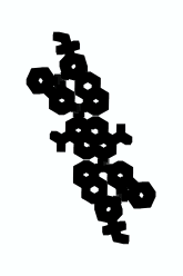 CCC(C)(C)c1cccc(-n2c3ccccc3c3ccc(N(c4cccc5c4CCCC5)c4cc(C(C)C)c5ccc6c(N(c7ccc8c9ccccc9n(-c9cccc(C(C)(C)CC)c9)c8c7)c7cccc8c7CCCC8)cc(C(C)C)c7ccc4c5c76)cc32)c1